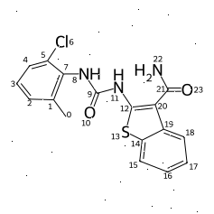 Cc1cccc(Cl)c1NC(=O)Nc1sc2ccccc2c1C(N)=O